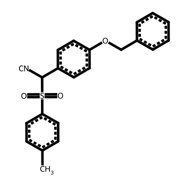 [C-]#[N+]C(c1ccc(OCc2ccccc2)cc1)S(=O)(=O)c1ccc(C)cc1